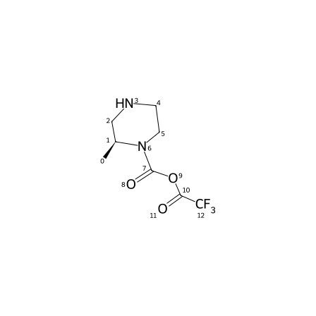 C[C@H]1CNCCN1C(=O)OC(=O)C(F)(F)F